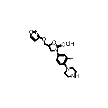 Cl.O=C1OC(COc2ccon2)CN1c1ccc(N2CCNCC2)c(F)c1